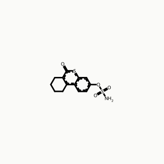 NS(=O)(=O)Oc1ccc2c3c(c(=O)sc2c1)CCCC3